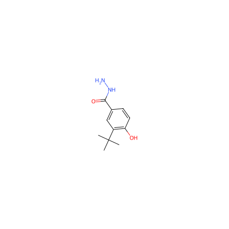 CC(C)(C)c1cc(C(=O)NN)ccc1O